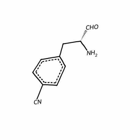 N#Cc1ccc(C[C@@H](N)C=O)cc1